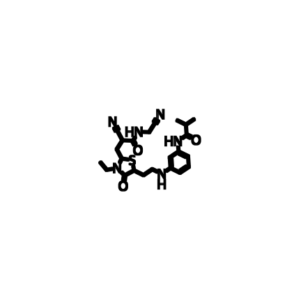 CCN1C(=O)C(CCNc2cccc(NC(=O)C(C)C)c2)SC1CC(C#N)C(=O)NCC#N